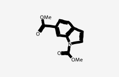 COC(=O)c1ccc2ccn(C(=O)OC)c2c1